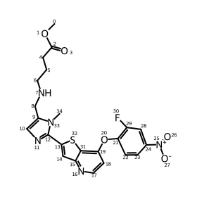 COC(=O)CCCNCc1cnc(-c2cc3nccc(Oc4ccc([N+](=O)[O-])cc4F)c3s2)n1C